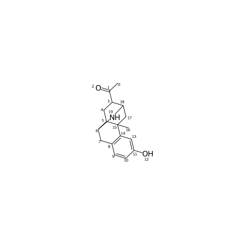 CC(=O)C1CC2C3Cc4ccc(O)cc4C2(C)CC1N3